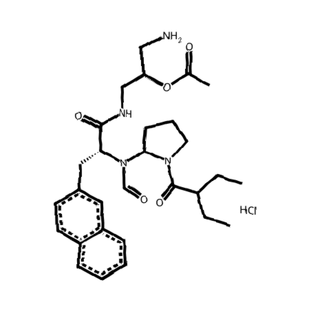 CCC(CC)C(=O)N1CCCC1N(C=O)[C@H](Cc1ccc2ccccc2c1)C(=O)NCC(CN)OC(C)=O.Cl